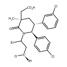 CCC(C[S@+]([O-])C(C)C)N1C(=O)[C@@](C)(CC(=O)O)C[C@H](c2cccc(Cl)c2)[C@H]1c1ccc(Cl)cc1